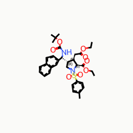 CCOC(=O)C[C@@H]1[C@@H](C(NC(=O)OC(C)(C)C)c2ccc3ccccc3c2)CN(S(=O)(=O)c2ccc(C)cc2)[C@@H]1C(=O)OCC